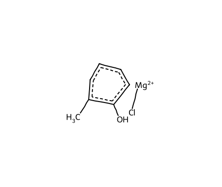 Cc1ccccc1O.[Mg+2][Cl]